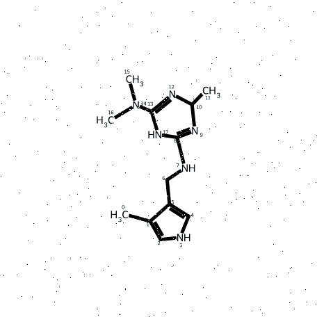 Cc1c[nH]cc1CNC1=NC(C)N=C(N(C)C)N1